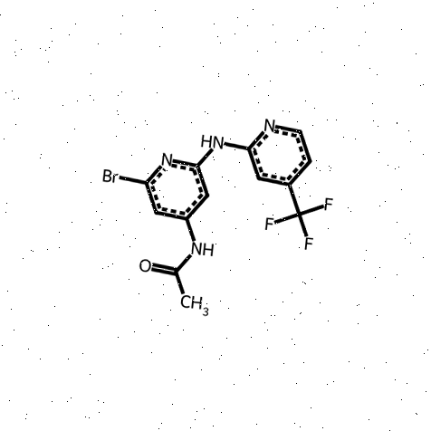 CC(=O)Nc1cc(Br)nc(Nc2cc(C(F)(F)F)ccn2)c1